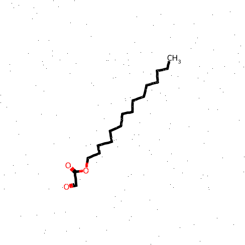 CCCCCCCCCCCCCCCOC(=O)C=O